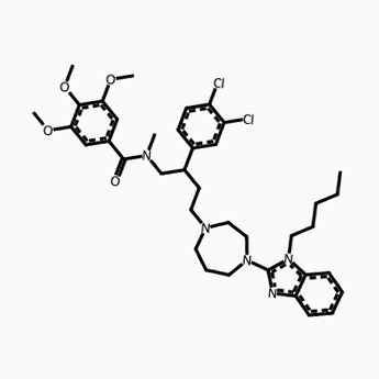 CCCCCn1c(N2CCCN(CCC(CN(C)C(=O)c3cc(OC)c(OC)c(OC)c3)c3ccc(Cl)c(Cl)c3)CC2)nc2ccccc21